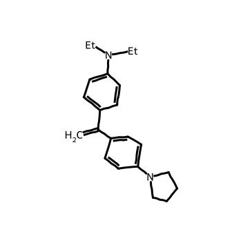 C=C(c1ccc(N(CC)CC)cc1)c1ccc(N2CCCC2)cc1